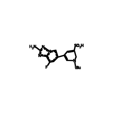 CC(C)(C)N1C=C(c2cc(F)c3nc(N)nn3c2)C=C(S(=O)(=O)O)C1